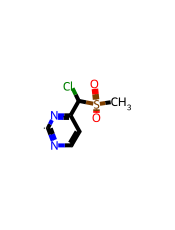 CS(=O)(=O)C(Cl)c1ccn[c]n1